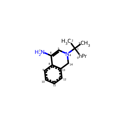 CCCC(C)(C)N1C=C(N)c2ccccc2C1